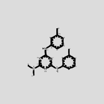 Cc1cccc(Nc2nc(Nc3cccc(C)c3)nc(N(C)C)n2)c1